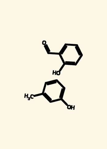 Cc1cccc(O)c1.O=Cc1ccccc1O